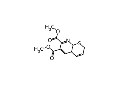 COC(=O)C1=CC2C=CCSC2N=C1C(=O)OC